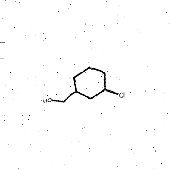 OCC1C[CH]CC(Cl)C1